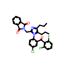 CCCc1nc(CN2C(=O)c3ccccc3C2=O)n(-c2ccc(Cl)cc2C(=O)c2c(F)cccc2F)c1CCC